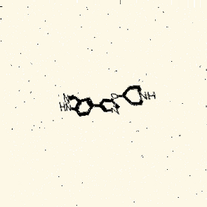 c1ncc(-c2ccc3[nH]ncc3c2)cc1OC1CCNCC1